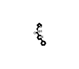 O=C(NCc1ccco1)c1ccc(-c2ccccc2)nc1